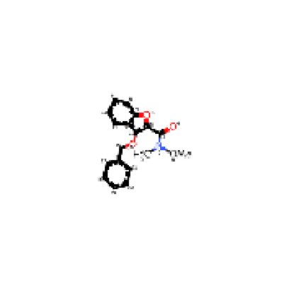 CON(C)C(=O)c1oc2ccccc2c1OCc1ccccc1